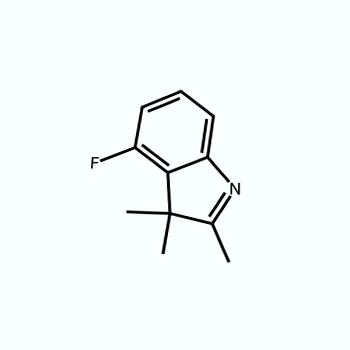 CC1=Nc2cccc(F)c2C1(C)C